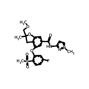 COCC1(C)Cc2c(Oc3cc(F)ccc3S(C)(=O)=O)cc(C(=O)Nc3ccn(C)n3)cc2O1